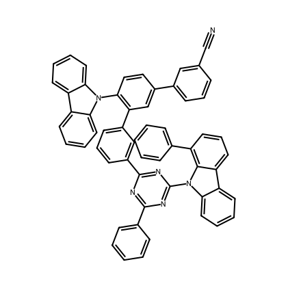 N#Cc1cccc(-c2ccc(-n3c4ccccc4c4ccccc43)c(-c3cccc(-c4nc(-c5ccccc5)nc(-n5c6ccccc6c6cccc(-c7ccccc7)c65)n4)c3)c2)c1